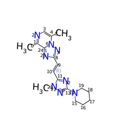 Cc1ncc(C)n2nc(/C=C/c3nc(N4CCCCC4)nn3C)nc12